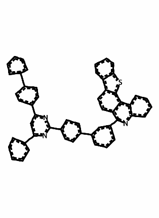 c1ccc(-c2ccc(-c3cc(-c4ccccc4)nc(-c4ccc(-c5cccc(-c6nc7ccccc7c7c6ccc6c8ccccc8sc67)c5)cc4)n3)cc2)cc1